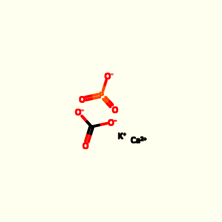 O=C([O-])[O-].O=P(=O)[O-].[Ca+2].[K+]